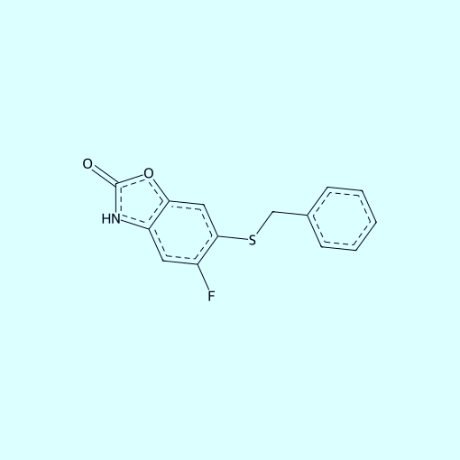 O=c1[nH]c2cc(F)c(SCc3ccccc3)cc2o1